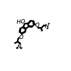 CC(COc1ccc2c(c1)-c1cc(OCC(C)CN(C)C)ccc1C2O)CN(C)C